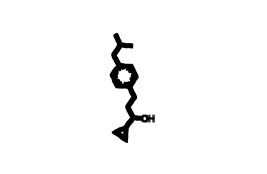 CC(C)Cc1ccc(CCC(O)C2CC2)cc1